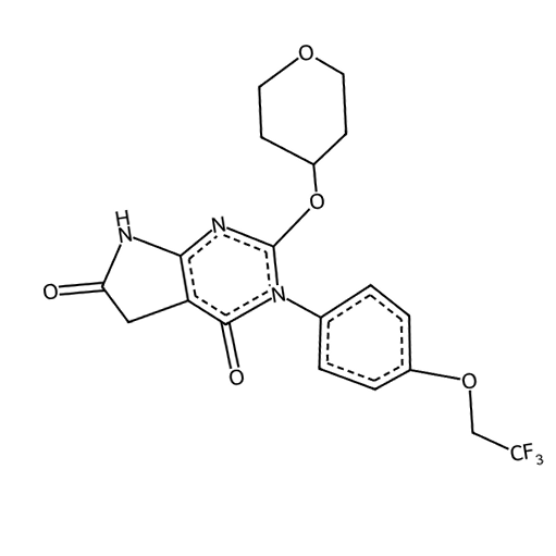 O=C1Cc2c(nc(OC3CCOCC3)n(-c3ccc(OCC(F)(F)F)cc3)c2=O)N1